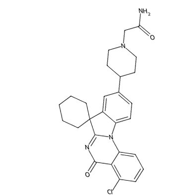 NC(=O)CN1CCC(c2ccc3c(c2)C2(CCCCC2)c2nc(=O)c4c(Cl)cccc4n2-3)CC1